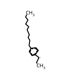 CC[CH]c1ccc(CCCCCCCCCC)cc1